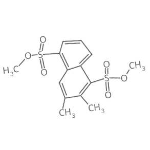 COS(=O)(=O)c1cccc2c(S(=O)(=O)OC)c(C)c(C)cc12